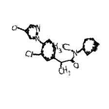 CC(C(=O)N(C)c1ccccc1)c1ccc(-n2cc(Cl)cn2)c(Cl)c1